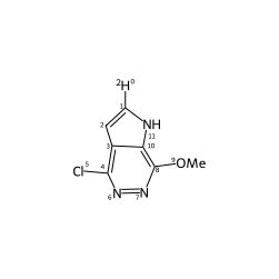 [2H]c1cc2c(Cl)nnc(OC)c2[nH]1